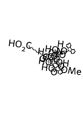 COc1cccc2c1C(=O)c1c(O)c3c(c(O)c1C2=O)C[C@@](O)(C(=O)COC(=O)CCCCCCCCC(=O)O)C[C@@H]3O[C@H]1C[C@H](NC(=O)OCC2c3ccccc3-c3ccccc32)[C@H](O)[C@H](C)O1